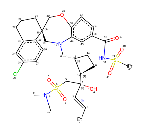 CC/C=C/[C@@](O)(CS(=O)(=O)N(C)C)[C@@H]1CC[C@H]1CN1C[C@@]2(CCCc3cc(Cl)ccc32)COc2ccc(C(=O)NS(=O)(=O)C(C)C)cc21